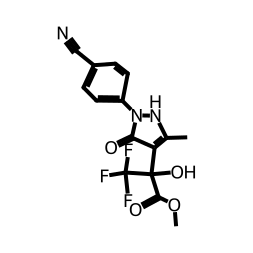 COC(=O)C(O)(c1c(C)[nH]n(-c2ccc(C#N)cc2)c1=O)C(F)(F)F